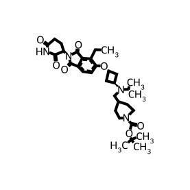 CCc1c(O[C@H]2C[C@H](N(CC3CCN(C(=O)OC(C)(C)C)CC3)C(C)C)C2)ccc2c1C(=O)N(C1CCC(=O)NC1=O)C2=O